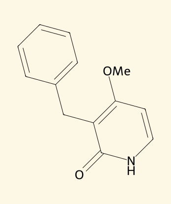 COc1cc[nH]c(=O)c1Cc1ccccc1